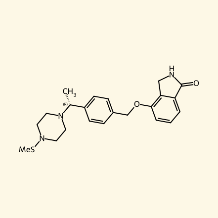 CSN1CCN([C@H](C)c2ccc(COc3cccc4c3CNC4=O)cc2)CC1